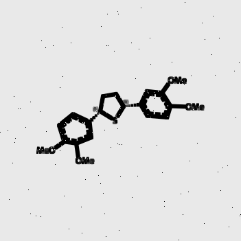 COc1ccc([C@@H]2CC[C@H](c3ccc(OC)c(OC)c3)S2)cc1OC